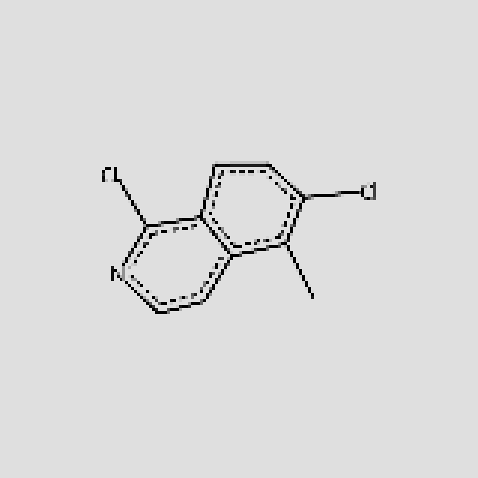 Cc1c(Cl)ccc2c(Cl)nccc12